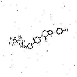 CC(C)(C)OC(=O)N[C@@H]1CCN(c2ccc(N3CCc4cc(-c5ccc(Cl)cc5)sc4C3=O)cn2)C1